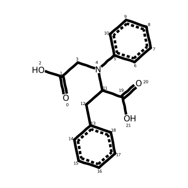 O=C(O)CN(c1ccccc1)C(Cc1ccccc1)C(=O)O